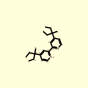 CCC(C)(CC)c1ccnc(-c2cc(C(C)(CC)CC)ccn2)c1